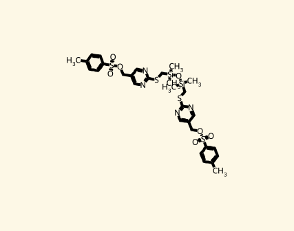 Cc1ccc(S(=O)(=O)OCc2cnc(SC[Si](C)(C)O[Si](C)(C)CSc3ncc(COS(=O)(=O)c4ccc(C)cc4)cn3)nc2)cc1